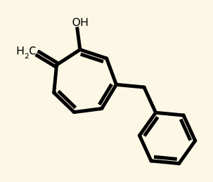 C=C1C=CC=C(Cc2ccccc2)C=C1O